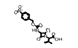 C=C(C)C(C(=O)O)N1C(=O)C(NC(=O)OCc2ccc([N+](=O)[O-])cc2)C1Cl